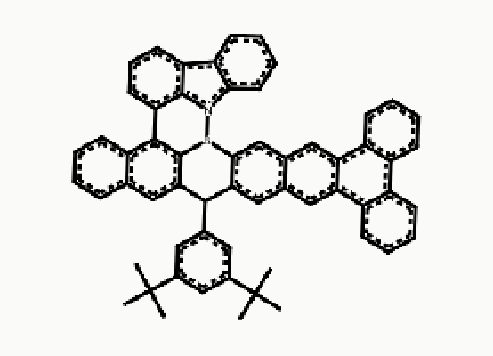 CC(C)(C)c1cc(C2c3cc4cc5c6ccccc6c6ccccc6c5cc4cc3B3c4c2cc2ccccc2c4-c2cccc4c5ccccc5n3c24)cc(C(C)(C)C)c1